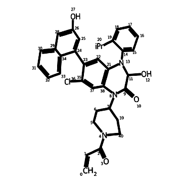 C=CC(=O)N1CCC(N2C(=O)C(O)N(c3ccccc3C(C)C)c3cc(-c4cc(O)cc5ccccc45)c(Cl)cc32)CC1